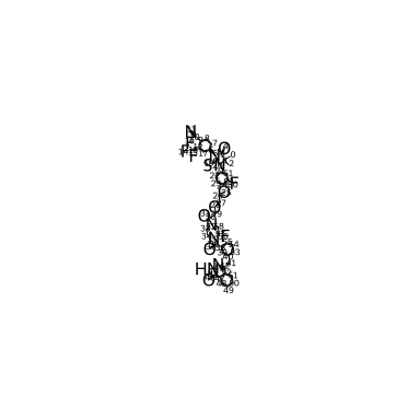 CC1(C)C(=O)N(c2ccc(C#N)c(C(F)(F)F)c2)C(=S)N1c1ccc(OCCOCC(=O)N2CCN(C(=O)c3cc(Cc4n[nH]c(=O)c5ccccc45)ccc3F)CC2)c(F)c1